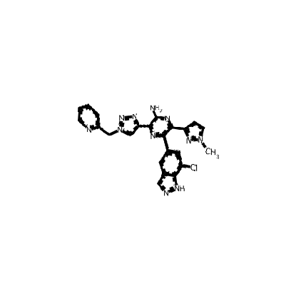 Cn1ccc(-c2nc(N)c(-c3cn(Cc4ccccn4)nn3)nc2-c2cc(Cl)c3[nH]ncc3c2)n1